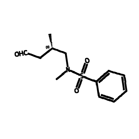 C[C@@H](CC=O)CN(C)S(=O)(=O)c1ccccc1